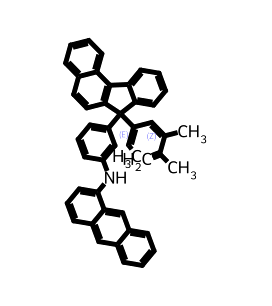 C=C(C)/C(C)=C\C(=C/C)C1(c2cccc(Nc3cccc4cc5ccccc5cc34)c2)c2ccccc2-c2c1ccc1ccccc21